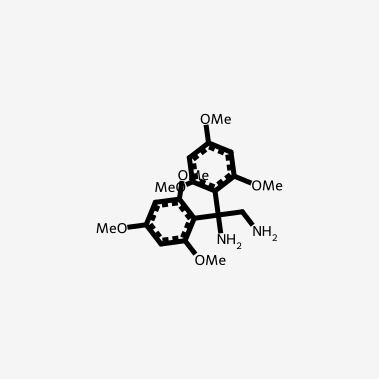 COc1cc(OC)c(C(N)(CN)c2c(OC)cc(OC)cc2OC)c(OC)c1